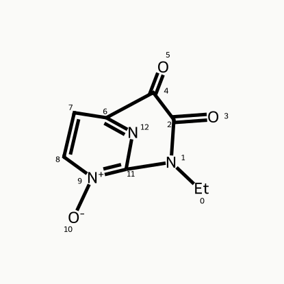 CCN1C(=O)C(=O)c2cc[n+]([O-])c1n2